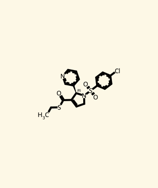 CCSC(=O)C1=CCN(S(=O)(=O)c2ccc(Cl)cc2)[C@@H]1c1cccnc1